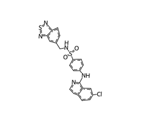 O=S(=O)(NCc1ccc2nsnc2c1)c1ccc(Nc2nccc3ccc(Cl)cc23)cc1